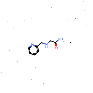 NC(=O)CNCc1ccccn1